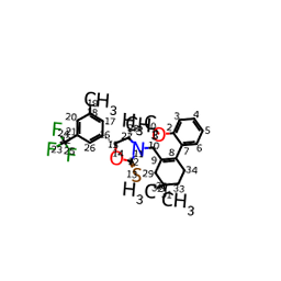 COc1ccccc1C1=C(CN2C(=S)O[C@H](c3cc(C)cc(C(F)(F)F)c3)[C@@H]2C)CC(C)(C)CC1